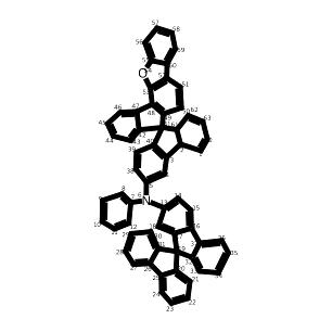 C1=CC2c3cc(N(c4ccccc4)c4ccc5c(c4)C4(c6ccccc6-c6ccccc64)c4ccccc4-5)ccc3C3(c4ccccc4-c4c3ccc3c4oc4ccccc43)C2C=C1